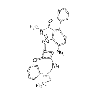 CC[C@@H](Nc1c(Nc2ccc(-c3cccnc3)c(C(=O)NC)c2O)c(=O)c1=O)c1ccccc1